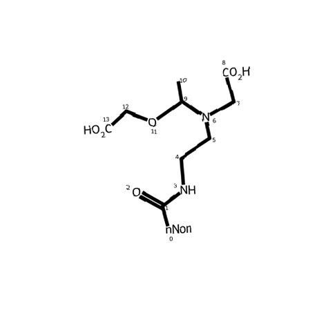 CCCCCCCCCC(=O)NCCN(CC(=O)O)C(C)OCC(=O)O